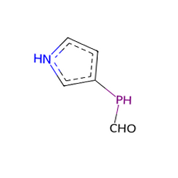 O=CPc1cc[nH]c1